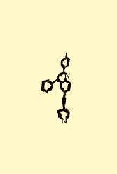 Cc1ccc(-c2cc(-c3ccccc3)c3cc(C#Cc4ccncc4)ccc3n2)cc1